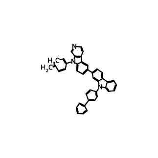 C=C/C=C\C(=C/C)n1c2ccc(-c3ccc4c5ccccc5n(-c5ccc(-c6ccccc6)cc5)c4c3)cc2c2ccncc21